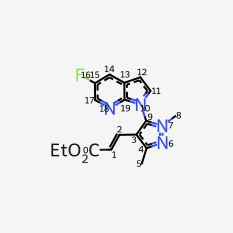 CCOC(=O)/C=C/c1c(C)nn(C)c1-n1ccc2cc(F)cnc21